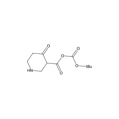 CC(C)(C)OC(=O)OC(=O)C1CNCCC1=O